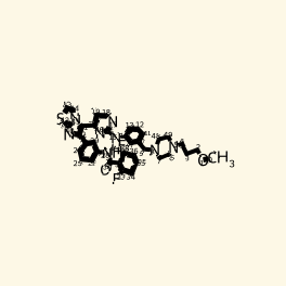 COCCCN1CCN(Cc2cccc(Nc3nccc(-c4c(-c5cccc(NC(=O)c6c(F)cccc6F)c5)nc5sccn45)n3)c2)CC1